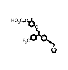 Cc1cc(OCC=C(c2ccc(C#CCN3CCCC3)cc2)c2ccc(C(F)(F)F)cc2)ccc1OCC(=O)O